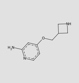 Nc1cc(OCC2CNC2)ccn1